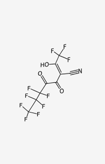 N#CC(C(=O)C(=O)C(F)(F)C(F)(F)C(F)(F)F)=C(O)C(F)(F)F